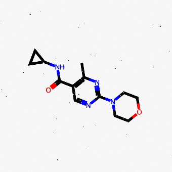 Cc1nc(N2CCOCC2)ncc1C(=O)NC1CC1